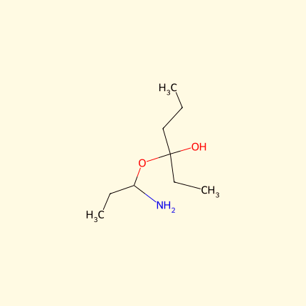 CCCC(O)(CC)OC(N)CC